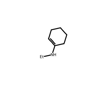 CCNC1=CCCCC1